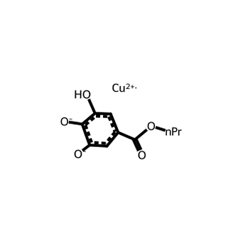 CCCOC(=O)c1cc([O-])c([O-])c(O)c1.[Cu+2]